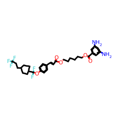 Nc1cc(N)cc(C(=O)OCCCCCCOC(=O)/C=C/c2ccc(OC(F)(F)C3CCC(CCC(F)(F)F)CC3)cc2)c1